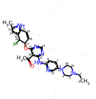 CCN1CCN(c2ccc(Nc3ncnc(OC4C=Cc5[nH]c(C)cc5C4F)c3C(C)=O)nc2)CC1